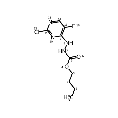 CCCCOC(=O)NNc1nc(Cl)ncc1F